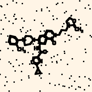 C=C1OCCN1CCCn1ccc2cc(N3CCN(c4ccccc4C)CC3)c(NC(=O)c3coc(C4CC4)n3)cc2c1=O